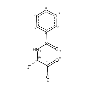 C[C@H](NC(=O)c1cccnc1)C(=O)O